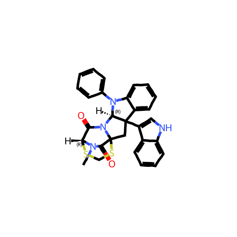 CN1C(=O)C23CC4(c5c[nH]c6ccccc56)c5ccccc5N(c5ccccc5)[C@@H]4N2C(=O)[C@H]1SCS3